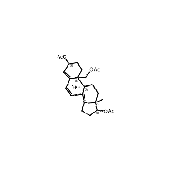 CC(=O)OC[C@]12CC[C@H](OC(C)=O)C=C1C=CC1=C3CC[C@H](OC(C)=O)[C@@]3(C)CC[C@@H]12